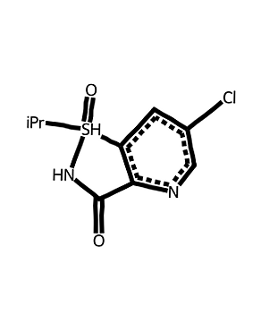 CC(C)[SH]1(=O)NC(=O)c2ncc(Cl)cc21